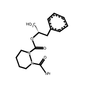 CCCC(=O)N1CCCCN1C(=O)O[C@@H](Cc1ccccc1)C(=O)O